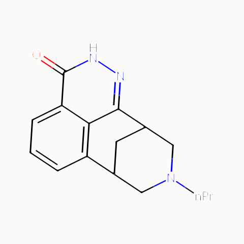 CCCN1CC2CC(C1)c1n[nH]c(=O)c3cccc2c13